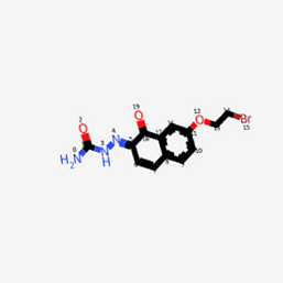 NC(=O)N/N=C1\C=Cc2ccc(OCCBr)cc2C1=O